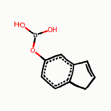 OB(O)Oc1ccc2c(c1)C=CC2